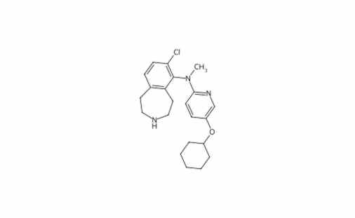 CN(c1ccc(OC2CCCCC2)cn1)c1c(Cl)ccc2c1CCNCC2